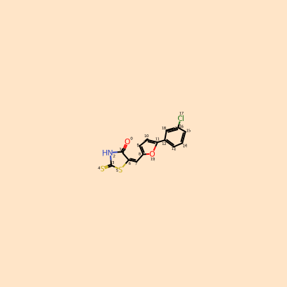 O=C1NC(=S)S/C1=C/c1ccc(-c2cccc(Cl)c2)o1